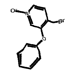 [O-][n+]1ccc(Br)c(Oc2ccccc2)c1